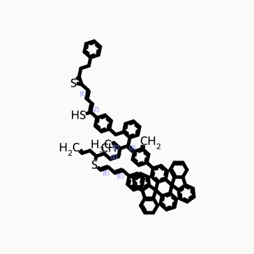 C=CCC(S/C=C/C=C/c1ccccc1)C(C)\C=C/C(=C\C)C(/c1ccccc1Cc1ccc(/C(S)=C/C=C/C2SC2CCc2ccccc2)cc1)=c1\ccc(-c2ccc3c(c2)C2(C4=C(C=CCC4)c4ccccc42)c2ccccc2C32C3=CC=CCC3c3ccccc32)cc1=C